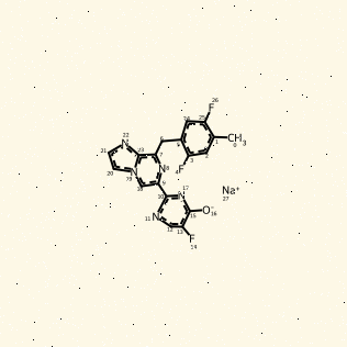 Cc1cc(F)c(Cc2nc(-c3ncc(F)c([O-])n3)cn3ccnc23)cc1F.[Na+]